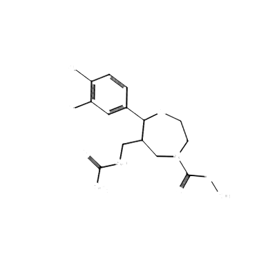 CC(C)(C)OC(=O)N1CCOC(c2ccc(Cl)c(Cl)c2)C(CNC(N)=O)C1